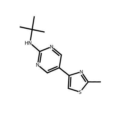 Cc1nc(-c2cnc(NC(C)(C)C)nc2)cs1